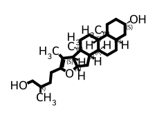 CC1=C(CC[C@@H](C)CO)O[C@H]2C[C@H]3[C@@H]4CC[C@@H]5C[C@@H](O)CC[C@]5(C)[C@H]4CC[C@]3(C)[C@@H]12